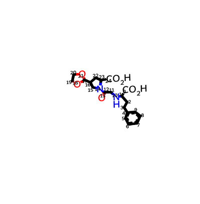 O=C(O)C(CCc1ccccc1)NCC(=O)N1CC(C2OCCO2)CC1C(=O)O